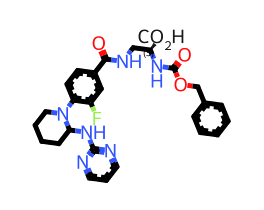 O=C(N[C@@H](CNC(=O)c1ccc(N2CCCCC2Nc2ncccn2)c(F)c1)C(=O)O)OCc1ccccc1